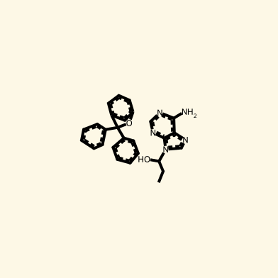 CCC(O)n1cnc2c(N)ncnc21.c1ccc(C2(c3ccccc3)Oc3cccc2c3)cc1